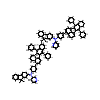 CC1(C)c2ccccc2-c2ccc(N(c3ccc(-c4ccc5c6c(cccc46)-c4c-5c(-c5ccccc5)c5ccc(CC6(C)c7ccccc7-c7ccc(N(c8ccc(-c9ccc%10c%11c(cccc9%11)-c9c-%10c(-c%10ccccc%10)c%10ccccc%10c9-c9ccccc9)cc8)c8ccccn8)cc76)cc5c4-c4ccccc4)cc3)c3cccnc3)cc21